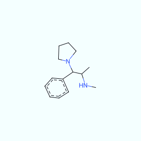 CNC(C)C(c1ccccc1)N1CCCC1